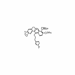 COc1ccc2c(CCCc3ccc(F)cc3)c3[n+](cc2c1OC)CCc1cc2c(cc1-3)OCO2.[I-]